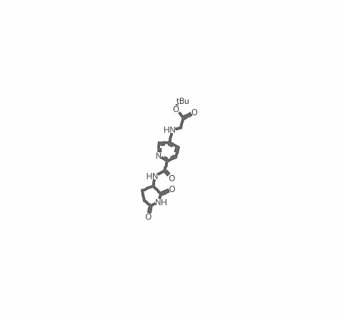 CC(C)(C)OC(=O)CNc1ccc(C(=O)NC2CCC(=O)NC2=O)nc1